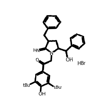 Br.CC(C)(C)c1cc(C(=O)CN2C(=N)C(Cc3ccccc3)CC2C(O)c2ccccc2)cc(C(C)(C)C)c1O